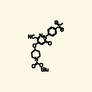 CC(C)(C)OC(=O)N1CCC(Oc2cc(=O)n(-c3ccc(S(C)(=O)=O)cc3)nc2C#N)CC1